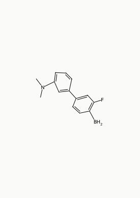 Bc1ccc(-c2cccc(N(C)C)c2)cc1F